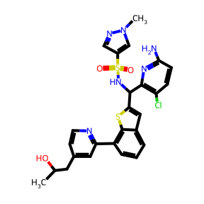 CC(O)Cc1ccnc(-c2cccc3cc(C(NS(=O)(=O)c4cnn(C)c4)c4nc(N)ccc4Cl)sc23)c1